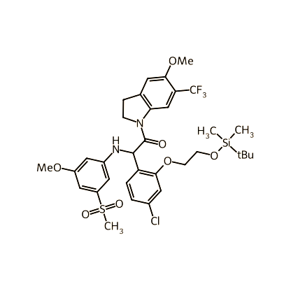 COc1cc(NC(C(=O)N2CCc3cc(OC)c(C(F)(F)F)cc32)c2ccc(Cl)cc2OCCO[Si](C)(C)C(C)(C)C)cc(S(C)(=O)=O)c1